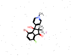 C[n+]1ccc(C2(O)c3c(Br)ccc(F)c3C(=O)C2(C)C)cc1.[I-]